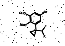 COc1c(C=O)cc(Br)cc1C1(C(F)F)CC1